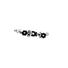 CSc1ccc(S(=O)(=O)N2CCC3(CC2)CN(c2nc4ccc(Cl)cc4s2)C3)cc1